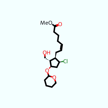 COC(=O)CCC/C=C\C[C@@H]1[C@@H](CO)[C@H](OC2CCCCO2)C[C@@H]1Cl